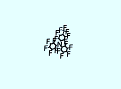 Fc1c(F)c(F)c(N(c2c(F)c(F)c(F)c(F)c2F)c2c(F)c(F)c(C(F)(F)F)c(F)c2F)c(F)c1F